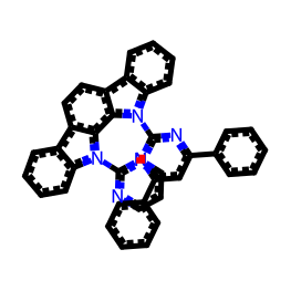 c1ccc(-c2cc(-c3ccccc3)nc(-n3c4ccccc4c4ccc5c6ccccc6n(-c6ncccn6)c5c43)n2)cc1